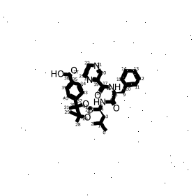 CC(C)C[C@H](NC(=O)[C@H](Cc1ccccc1)NC(=O)c1cnccn1)B1OC(C)(C)C(C)(c2ccc(C(=O)O)cc2)O1